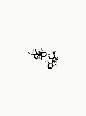 C[C@H]1C[C@@H]2C[C@@H](OCc3c(-c4c(Cl)cccc4Cl)noc3C3CC3)C[C@H]1[C@]2(O)c1cc(C#N)ccn1